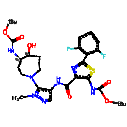 Cn1ncc(NC(=O)c2nc(-c3c(F)cccc3F)sc2NC(=O)OC(C)(C)C)c1N1CC[C@H](NC(=O)OC(C)(C)C)[C@@H](O)CC1